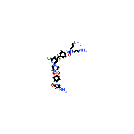 NCCCN(CCCN)C(=O)NC1CCC(C(F)(F)c2cc(Cl)nc(N3CCN(S(=O)(=O)c4ccc(N5C[C@H](N)CC5=O)cc4)CC3)c2)CC1